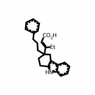 CCC(=CC(=O)O)C1(CCCc2ccccc2)CCc2[nH]c3ccccc3c2C1